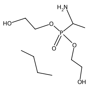 CC(N)P(=O)(OCCO)OCCO.CCCC